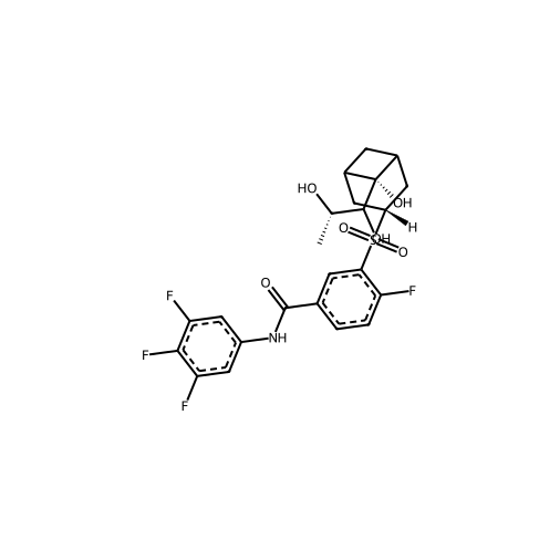 C[C@H](O)C(O)[C@]1(O)C2CC1C[C@@H](S(=O)(=O)c1cc(C(=O)Nc3cc(F)c(F)c(F)c3)ccc1F)C2